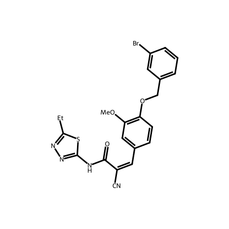 CCc1nnc(NC(=O)C(C#N)=Cc2ccc(OCc3cccc(Br)c3)c(OC)c2)s1